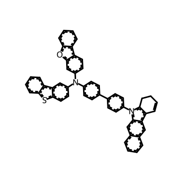 C1=Cc2c(n(-c3ccc(-c4ccc(N(c5ccc6c(c5)oc5ccccc56)c5ccc6sc7ccccc7c6c5)cc4)cc3)c3cc4ccccc4cc23)CC1